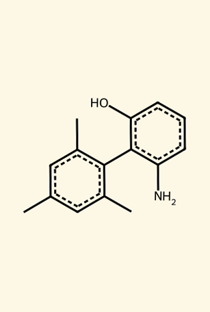 Cc1cc(C)c(-c2c(N)cccc2O)c(C)c1